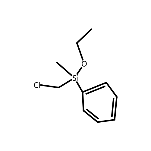 CCO[Si](C)(CCl)c1ccccc1